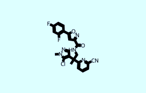 Cn1ncc(C(C)(CNC(=O)c2cc(-c3ccc(F)cc3F)on2)c2cccc(C#N)n2)c1Cl